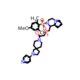 COc1cc(C)c(S(=O)(=O)N2CCn3cccc3C2COCC(=O)N2CCC3(CC2)CCN(c2ccncc2)C3)c(C)c1